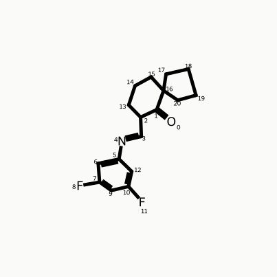 O=C1C(C=Nc2cc(F)cc(F)c2)CCCC12CCCC2